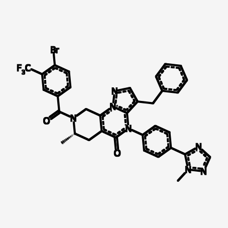 C[C@H]1Cc2c(n3ncc(Cc4ccccc4)c3n(-c3ccc(-c4ncnn4C)cc3)c2=O)CN1C(=O)c1ccc(Br)c(C(F)(F)F)c1